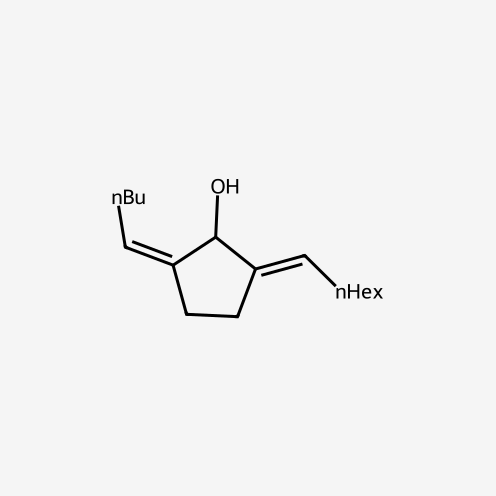 CCCCC=C1CCC(=CCCCCCC)C1O